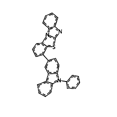 c1ccc(-n2c3ccccc3c3cc(-c4cccc5c4sc4nc6ccccc6n45)ccc32)cc1